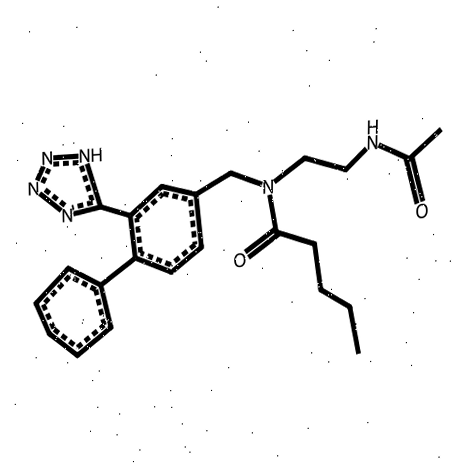 CCCCC(=O)N(CCNC(C)=O)Cc1ccc(-c2ccccc2)c(-c2nnn[nH]2)c1